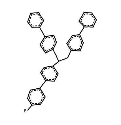 Brc1ccc(-c2ccc(C(Cc3ccc(-c4ccccc4)cc3)c3ccc(-c4ccccc4)cc3)cc2)cc1